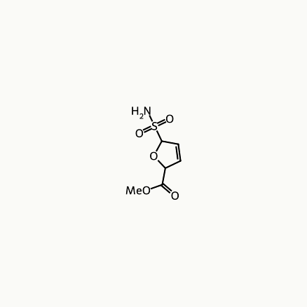 COC(=O)C1C=CC(S(N)(=O)=O)O1